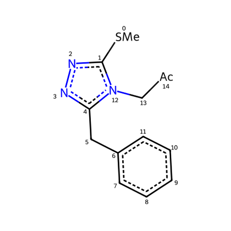 CSc1nnc(Cc2ccccc2)n1CC(C)=O